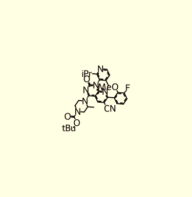 COc1c(F)cccc1-c1nc2c(cc1C#N)c(N1CCN(C(=O)OC(C)(C)C)CC1C)nc(=O)n2-c1c(C)ccnc1C(C)C